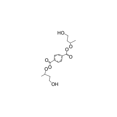 CC(CCO)OOC(=O)c1ccc(C(=O)OOC(C)CCO)cc1